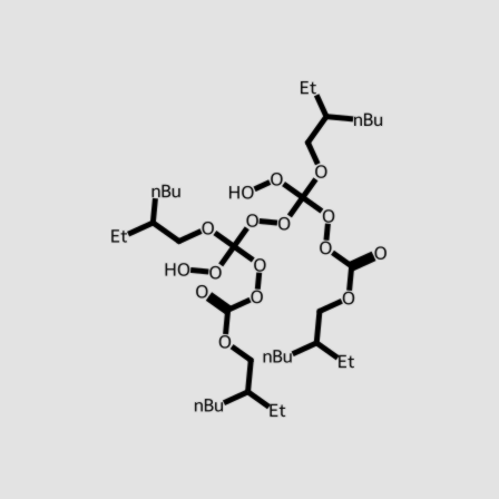 CCCCC(CC)COC(=O)OOC(OO)(OCC(CC)CCCC)OOC(OO)(OCC(CC)CCCC)OOC(=O)OCC(CC)CCCC